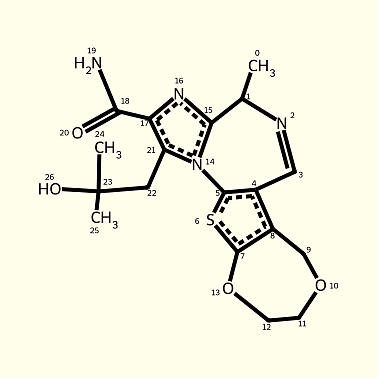 CC1N=Cc2c(sc3c2COCCO3)-n2c1nc(C(N)=O)c2CC(C)(C)O